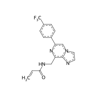 C=CC(=O)NCc1nc(-c2ccc(C(F)(F)F)cc2)cn2ccnc12